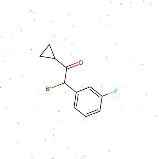 O=C(C1CC1)C(Br)c1cccc(F)c1